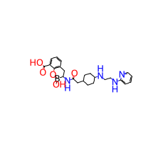 O=C(CC1CCC(NCCNc2ccccn2)CC1)NC1Cc2cccc(C(=O)O)c2OB1O